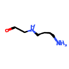 NCCNCC=O